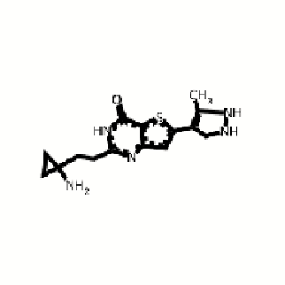 CC1=C(c2cc3nc(CCC4(N)CC4)[nH]c(=O)c3s2)CNN1